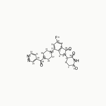 O=C1CCC(N2Cc3c(cc(F)cc3N3CCN(C(=O)c4ccnnc4)CC3)C2=O)C(=O)N1